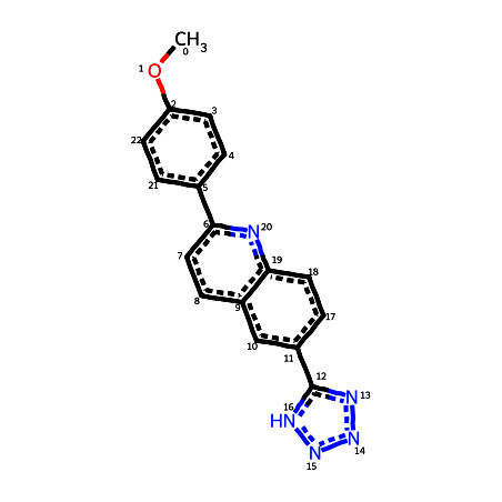 COc1ccc(-c2ccc3cc(-c4nnn[nH]4)ccc3n2)cc1